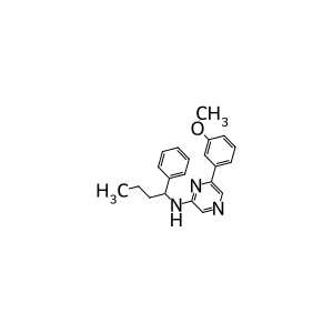 CCCC(Nc1cncc(-c2cccc(OC)c2)n1)c1ccccc1